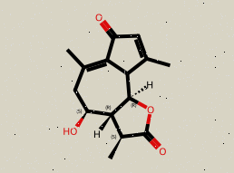 CC1=CC(=O)C2=C(C)C[C@H](O)[C@H]3[C@H](C)C(=O)O[C@@H]3C12